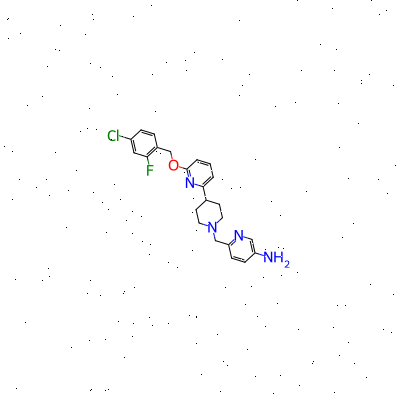 Nc1ccc(CN2CCC(c3cccc(OCc4ccc(Cl)cc4F)n3)CC2)nc1